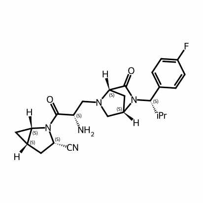 CC(C)[C@@H](c1ccc(F)cc1)N1C(=O)[C@@H]2C[C@H]1CN2C[C@H](N)C(=O)N1[C@H](C#N)C[C@@H]2C[C@@H]21